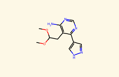 COC(Cc1c(N)ncnc1-c1cn[nH]c1)OC